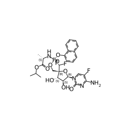 CC(C)OC(=O)[C@H](C)NP(=O)(OC[C@@]1(C(F)F)O[C@@H](n2cc(F)c(N)nc2=O)[C@@H](O)[C@@H]1O)Oc1cccc2ccccc12